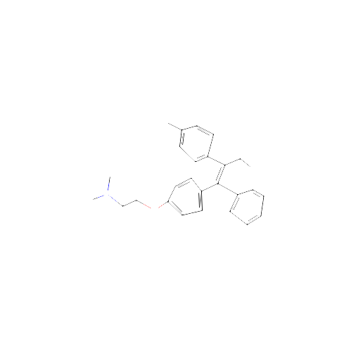 Bc1ccc(/C(CC)=C(/c2ccccc2)c2ccc(OCCN(C)C)cc2)cc1